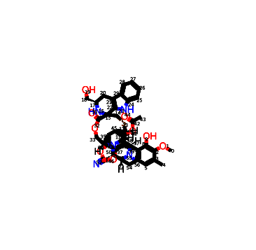 COc1c(C)cc2c(c1O)[C@@H]1[C@H]3[C@H]4SCC5(N[C@@H](CO)Cc6c5[nH]c5ccccc65)C(=O)OC[C@H](c5c6c(c(C)c(OC(C)=O)c54)OCO6)N3[C@@H](C#N)[C@@H](C2)N1C